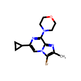 Cc1nc2c(N3CCOCC3)nc(C3CC3)cn2c1Br